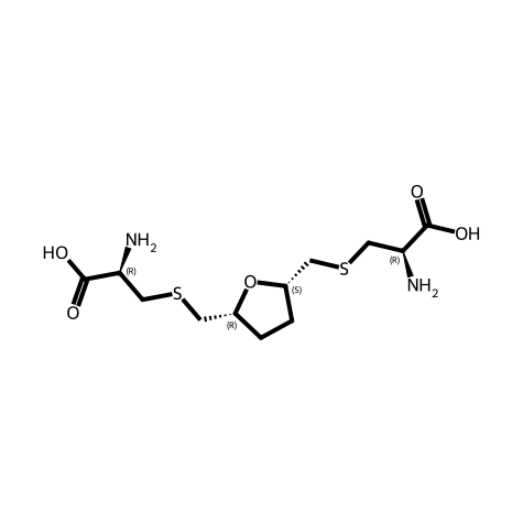 N[C@@H](CSC[C@H]1CC[C@@H](CSC[C@H](N)C(=O)O)O1)C(=O)O